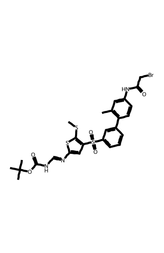 CSc1sc(/N=C/NC(=O)OC(C)(C)C)cc1S(=O)(=O)c1cccc(-c2ccc(NC(=O)CBr)cc2C)c1